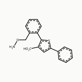 NOCc1ccccc1-c1sc(-c2ccccc2)cc1C(=O)O